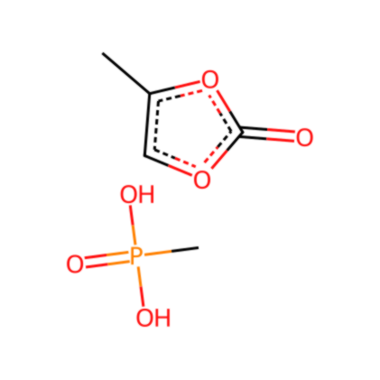 CP(=O)(O)O.Cc1coc(=O)o1